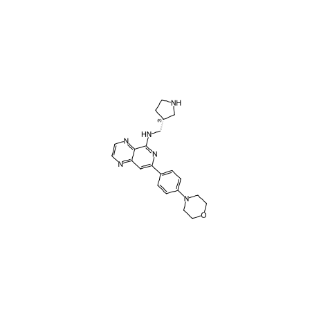 c1cnc2c(NC[C@@H]3CCNC3)nc(-c3ccc(N4CCOCC4)cc3)cc2n1